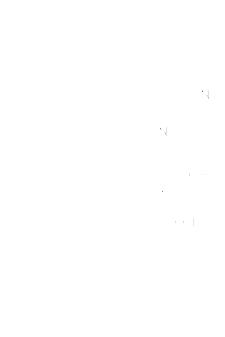 CC(O)(CCc1ccccc1)Cn1ccnc1